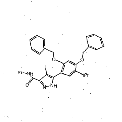 CCNC(=O)c1n[nH]c(-c2cc(C(C)C)c(OCc3ccccc3)cc2OCc2ccccc2)c1I